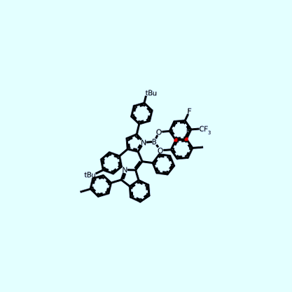 Cc1ccc(C2=N/C(=C(/c3ccccc3)c3c(-c4ccc(C(C)(C)C)cc4)cc(-c4ccc(C(C)(C)C)cc4)n3B(Oc3ccc(C)c(F)c3)Oc3ccc(C(F)(F)F)c(F)c3)c3ccccc32)cc1